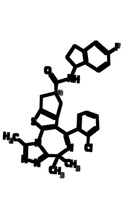 Cc1nnc2n1-c1sc3c(c1C(c1ccccc1Cl)=NC2(C)C)C[C@H](C(=O)NC1CCc2cc(F)ccc21)C3